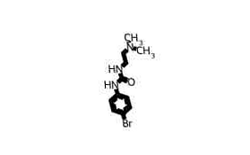 CN(C)CCNC(=O)Nc1ccc(Br)cc1